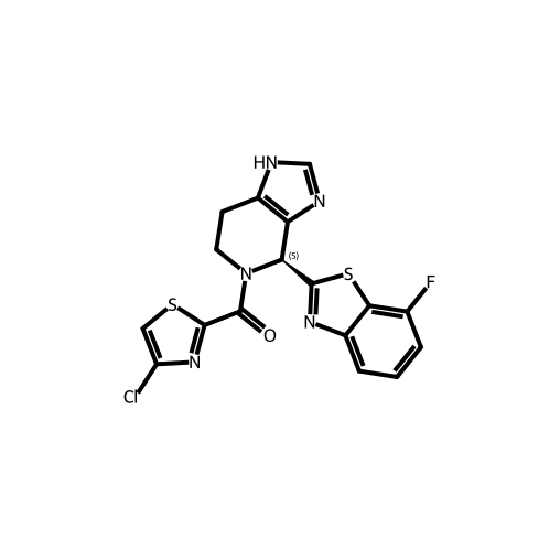 O=C(c1nc(Cl)cs1)N1CCc2[nH]cnc2[C@H]1c1nc2cccc(F)c2s1